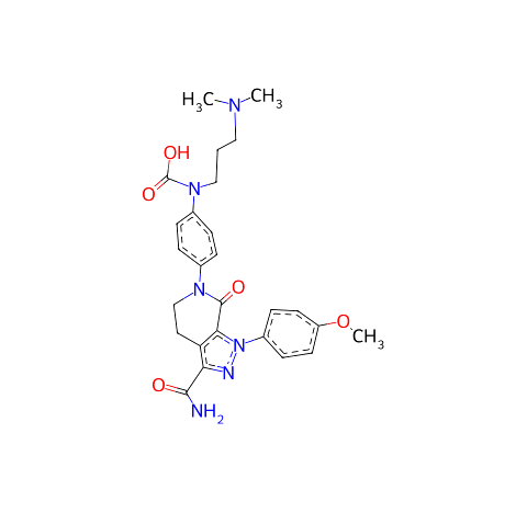 COc1ccc(-n2nc(C(N)=O)c3c2C(=O)N(c2ccc(N(CCCN(C)C)C(=O)O)cc2)CC3)cc1